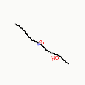 CCCCCCCCC=CCCCCCCCC(=O)NC(=O)CCCCCCCCCCC(O)CCCCCC